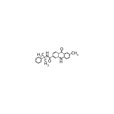 Cc1ccc2c(c1)C(=O)C1C=CC(C(=O)NC(C)(C)c3ccccc3)=CC1N2